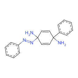 NC1(N=Nc2ccccc2)C=CC(N)(c2ccccc2)C=C1